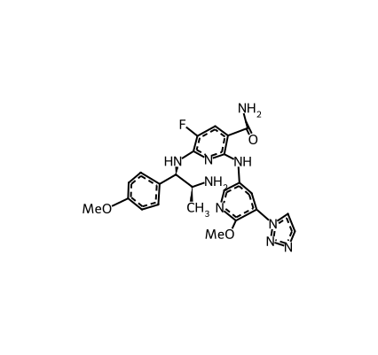 COc1ccc([C@@H](Nc2nc(Nc3cnc(OC)c(-n4ccnn4)c3)c(C(N)=O)cc2F)[C@H](C)N)cc1